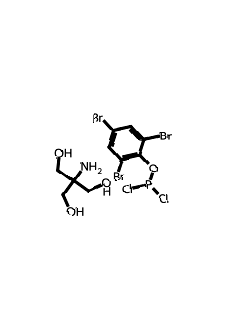 ClP(Cl)Oc1c(Br)cc(Br)cc1Br.NC(CO)(CO)CO